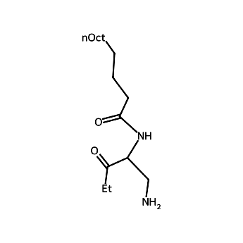 CCCCCCCCCCCC(=O)NC(CN)C(=O)CC